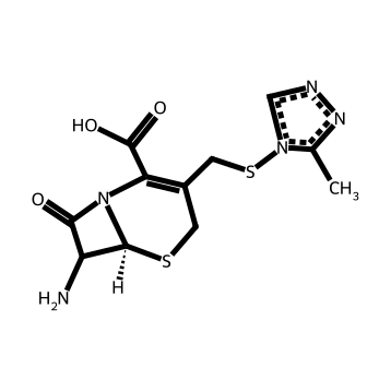 Cc1nncn1SCC1=C(C(=O)O)N2C(=O)C(N)[C@@H]2SC1